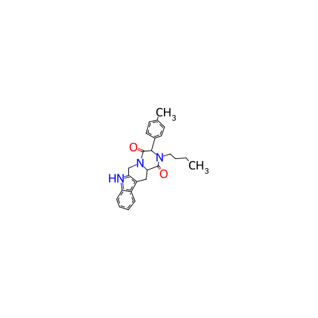 CCCCN1C(=O)C2Cc3c([nH]c4ccccc34)CN2C(=O)C1c1ccc(C)cc1